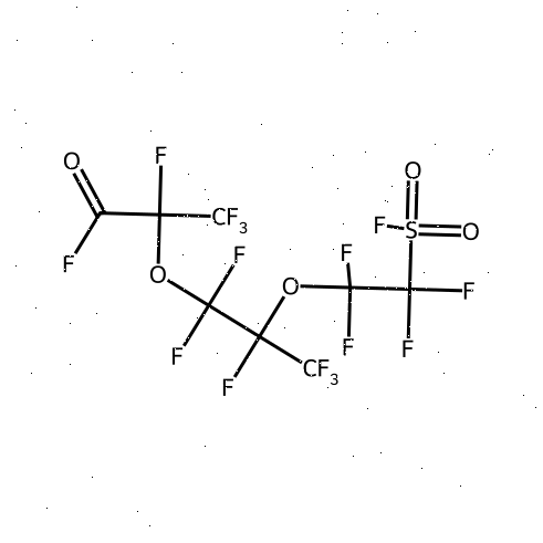 O=C(F)C(F)(OC(F)(F)C(F)(OC(F)(F)C(F)(F)S(=O)(=O)F)C(F)(F)F)C(F)(F)F